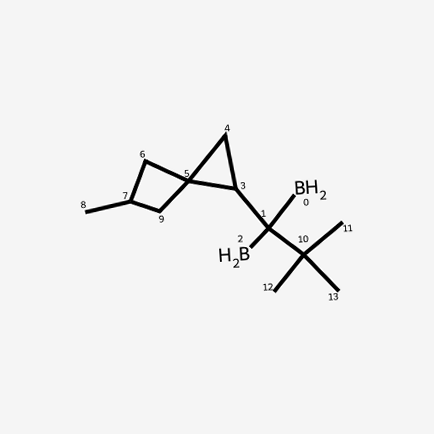 BC(B)(C1CC12CC(C)C2)C(C)(C)C